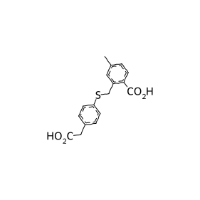 Cc1ccc(C(=O)O)c(CSc2ccc(CC(=O)O)cc2)c1